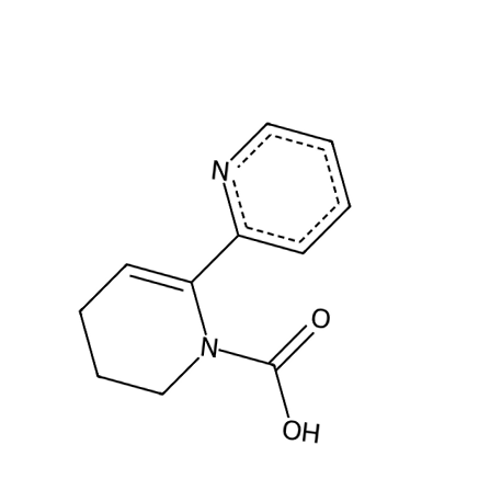 O=C(O)N1CCCC=C1c1ccccn1